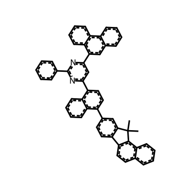 CC1(C)c2cc(-c3ccc(-c4cc(-c5cc6ccccc6c6ccccc56)nc(-c5ccccc5)n4)c4ccccc34)ccc2-c2ccc3ccccc3c21